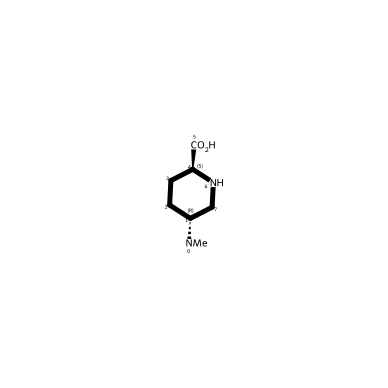 CN[C@@H]1CC[C@@H](C(=O)O)NC1